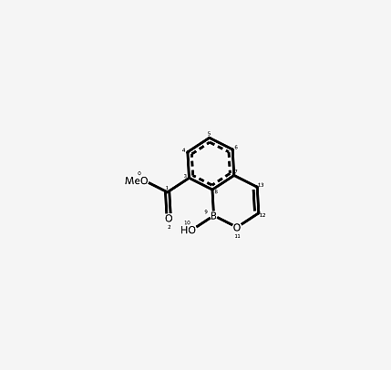 COC(=O)c1cccc2c1B(O)OC=C2